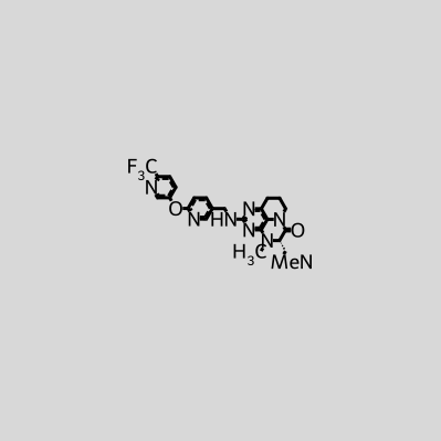 CNC[C@H]1C(=O)N2CCCc3nc(NCc4ccc(Oc5ccc(C(F)(F)F)nc5)nc4)nc(c32)N1C